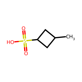 CC1CC(S(=O)(=O)O)C1